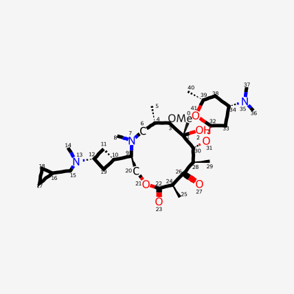 CO[C@]1(O)C[C@@H](C)CN(C)[C@H]([C@H]2C[C@@H](N(C)CC3CC3)C2)COC(=O)[C@H](C)C(=O)[C@H](C)[C@H]1O[C@H]1C[C@@H](N(C)C)C[C@@H](C)O1